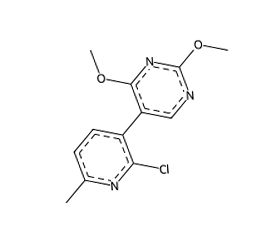 COc1ncc(-c2ccc(C)nc2Cl)c(OC)n1